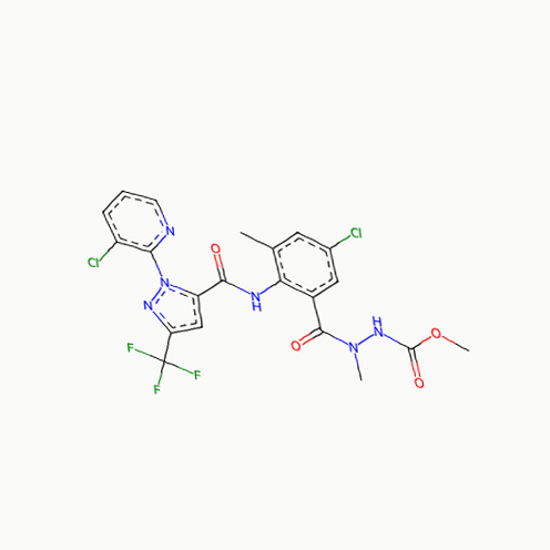 COC(=O)NN(C)C(=O)c1cc(Cl)cc(C)c1NC(=O)c1cc(C(F)(F)F)nn1-c1ncccc1Cl